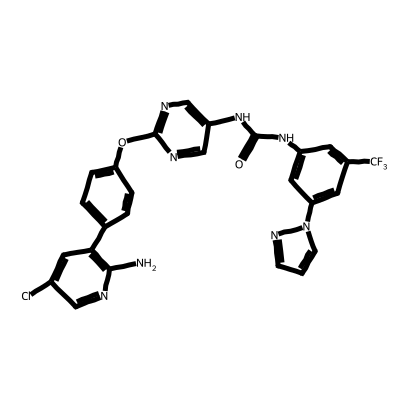 Nc1ncc(Cl)cc1-c1ccc(Oc2ncc(NC(=O)Nc3cc(-n4cccn4)cc(C(F)(F)F)c3)cn2)cc1